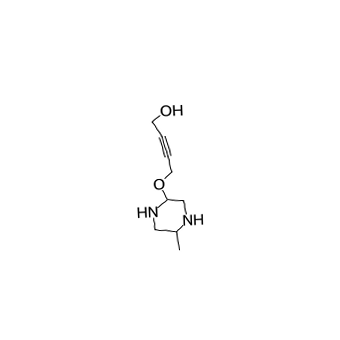 CC1CNC(OCC#CCO)CN1